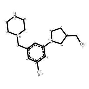 OCC1CCN(c2cc(CN3CCNCC3)cc(C(F)(F)F)c2)C1